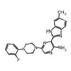 Cc1ccc2nc(-c3nc(N4CCN(c5ccccc5F)CC4)cnc3N)[nH]c2c1